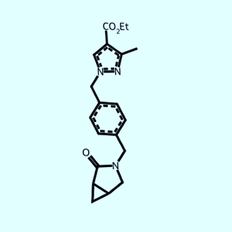 CCOC(=O)c1cn(Cc2ccc(CN3CC4CC4C3=O)cc2)nc1C